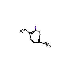 Bc1ccc(B)c(I)c1